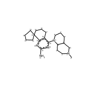 CN1CCC2C(CCCN2c2nc(N)nc3c2CCCC32CCCC2)C1